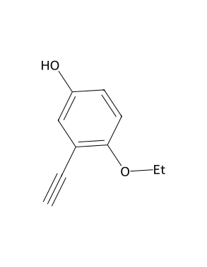 C#Cc1cc(O)ccc1OCC